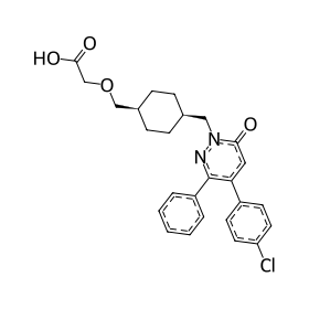 O=C(O)COC[C@H]1CC[C@@H](Cn2nc(-c3ccccc3)c(-c3ccc(Cl)cc3)cc2=O)CC1